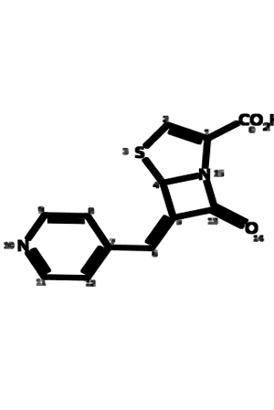 O=C(O)C1=CSC2C(=Cc3ccncc3)C(=O)N12